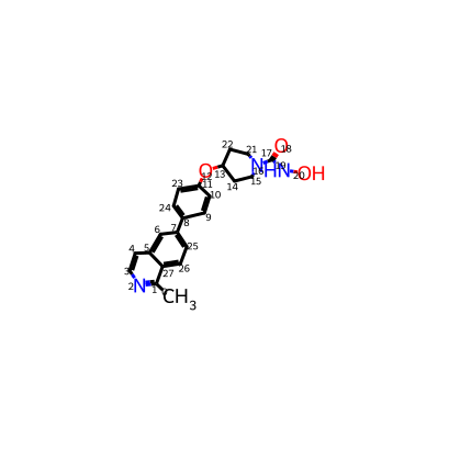 Cc1nccc2cc(-c3ccc(OC4CCN(C(=O)NO)CC4)cc3)ccc12